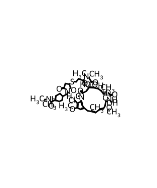 COc1cc2cc(c1Cl)N(C)C(=O)C[C@H](OC(=O)[C@H](C)N(C)C(=O)CCSC1CC(=O)N(CC3CCC(C(=O)NC(C)C)CC3)C1=O)[C@]1(C)O[C@H]1[C@H](C)[C@@H]1C[C@@](O)(NC(=O)O1)[C@H](OC)/C=C/C=C(\C)C2